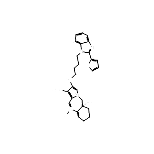 COc1c(OCCCCn2c(-c3cccs3)nc3ccccc32)cn2c1C=[N+]([O-])C1=CCCC[C@H]1C2